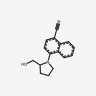 N#Cc1ccc(N2CCCC2CO)c2ccccc12